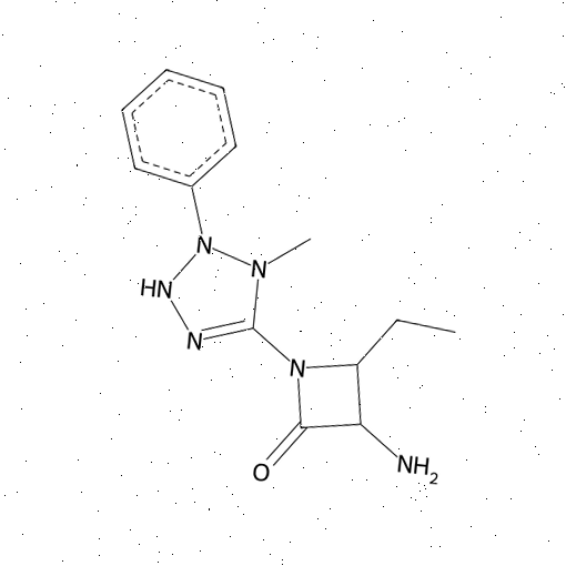 CCC1C(N)C(=O)N1C1=NNN(c2ccccc2)N1C